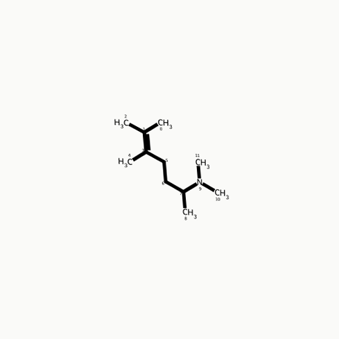 CC(C)=C(C)CCC(C)N(C)C